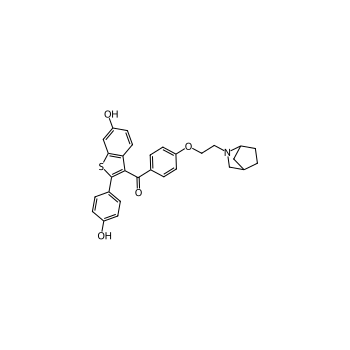 O=C(c1ccc(OCCN2CC3CCC2C3)cc1)c1c(-c2ccc(O)cc2)sc2cc(O)ccc12